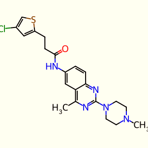 Cc1nc(N2CCN(C)CC2)nc2ccc(NC(=O)CCc3cc(Cl)cs3)cc12